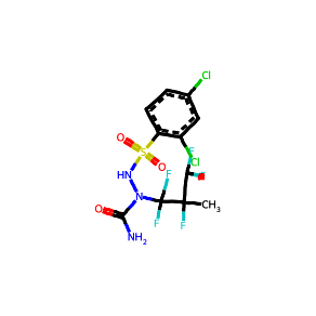 CC(F)(C(F)(F)F)C(F)(F)N(NS(=O)(=O)c1ccc(Cl)cc1Cl)C(N)=O